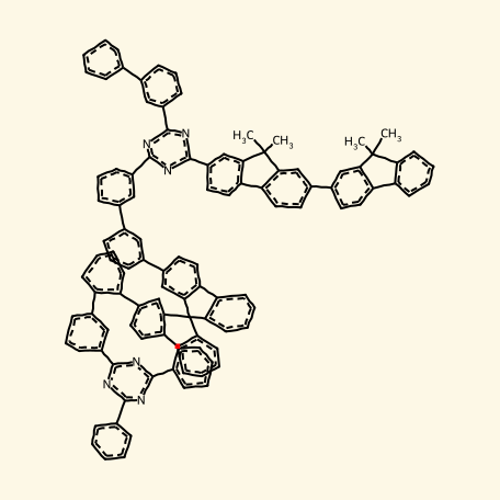 CC1(C)c2ccccc2-c2ccc(-c3ccc4c(c3)C(C)(C)c3cc(-c5nc(-c6cccc(-c7ccccc7)c6)nc(-c6cccc(-c7cccc(-c8ccc9c(c8)C8(c%10ccccc%10-9)c9ccccc9-c9ccc(-c%10ccccc%10-c%10cccc(-c%11nc(-c%12ccccc%12)nc(-c%12ccccc%12)n%11)c%10)cc98)c7)c6)n5)ccc3-4)cc21